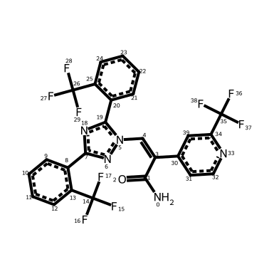 NC(=O)C(=Cn1nc(-c2ccccc2C(F)(F)F)nc1-c1ccccc1C(F)(F)F)c1ccnc(C(F)(F)F)c1